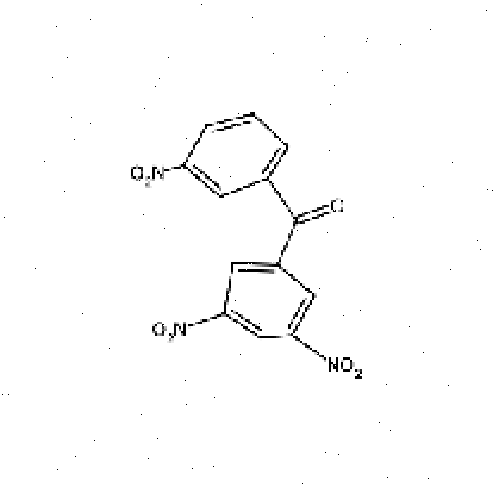 O=C(c1cccc([N+](=O)[O-])c1)c1cc([N+](=O)[O-])cc([N+](=O)[O-])c1